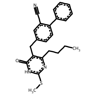 CCCCc1nc(SC)[nH]c(=O)c1Cc1ccc(-c2ccccc2)c(C#N)c1